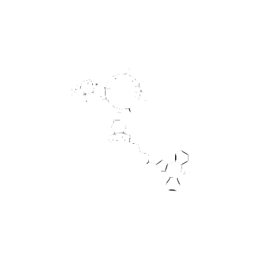 CO[C@]1(C)C[C@H](O[C@H]2[C@H](C)[C@@H](O[C@@H]3O[C@H](C)C[C@H](N(C)C)[C@H]3O)[C@](C)(O)C[C@@H](C)CN(C)[C@H](C)[C@@H](O)[C@](C)(O)[C@@H](I)OC(=O)[C@@H]2C)O[C@@H](C)[C@]1(O)CNCCNC(=O)c1cc2c(s1)-c1ccccc1Nc1ccccc1-2